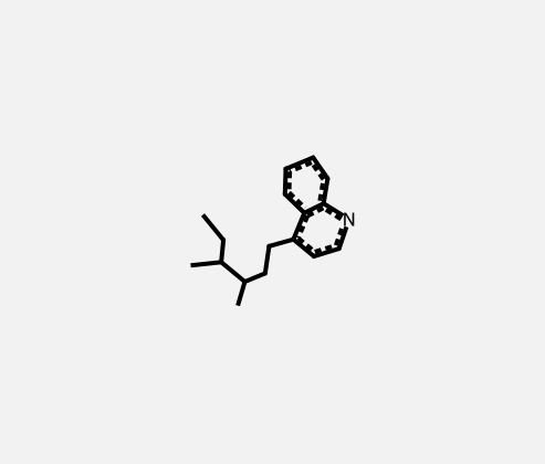 CCC(C)C(C)CCc1ccnc2ccccc12